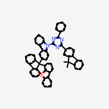 CC1(C)c2ccccc2-c2ccc(-c3nc(-c4ccccc4)nc(-n4c5ccccc5c5cc(C6(c7cccc8c7oc7ccccc78)c7ccccc7-c7ccccc76)ccc54)n3)cc21